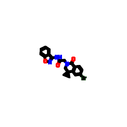 O=C(CN1CC2(CC2)c2cc(Br)ccc2C1=O)Nc1noc2ccccc12